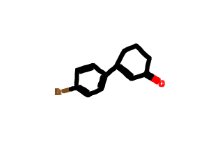 O=C1C=C(c2ccc(Br)cc2)CCC1